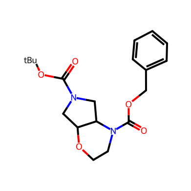 CC(C)(C)OC(=O)N1CC2OCCN(C(=O)OCc3ccccc3)C2C1